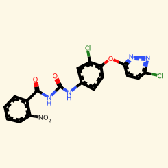 O=C(NC(=O)c1ccccc1[N+](=O)[O-])Nc1ccc(Oc2ccc(Cl)nn2)c(Cl)c1